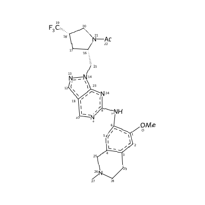 COc1cc2c(cc1Nc1ncc3cnn(C[C@@H]4C[C@H](C(F)(F)F)CN4C(C)=O)c3n1)CN(C)CC2